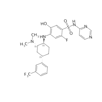 CN(C)[C@H]1C[C@@H](c2cccc(C(F)(F)F)c2)CC[C@@H]1Nc1cc(F)c(S(=O)(=O)Nc2ccncn2)cc1O